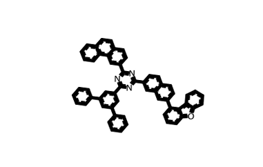 c1ccc(-c2cc(-c3ccccc3)cc(-c3nc(-c4ccc5ccc(-c6cccc7oc8ccccc8c67)cc5c4)nc(-c4ccc5ccc6ccccc6c5c4)n3)c2)cc1